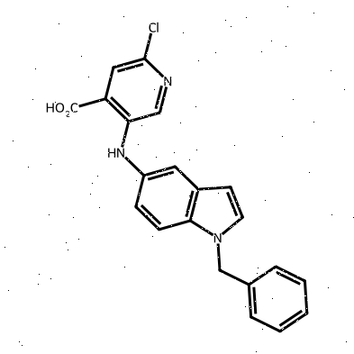 O=C(O)c1cc(Cl)ncc1Nc1ccc2c(ccn2Cc2ccccc2)c1